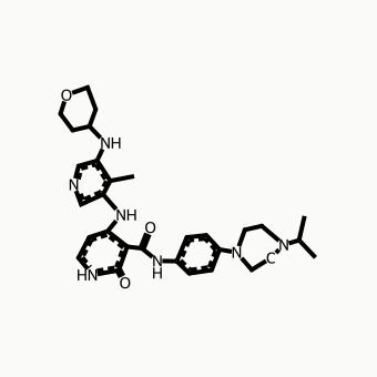 Cc1c(Nc2cc[nH]c(=O)c2C(=O)Nc2ccc(N3CCN(C(C)C)CC3)cc2)cncc1NC1CCOCC1